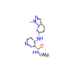 CONC(=O)c1cnccc1Nc1ccc2cnn(C)c2c1